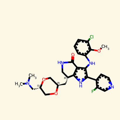 COc1c(Cl)cccc1Nc1c(-c2ccncc2F)[nH]c2c1C(=O)NC[C@H]2C[C@@H]1CO[C@@H](CN(C)C)CO1